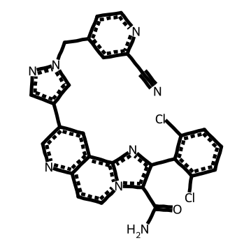 N#Cc1cc(Cn2cc(-c3cnc4ccn5c(C(N)=O)c(-c6c(Cl)cccc6Cl)nc5c4c3)cn2)ccn1